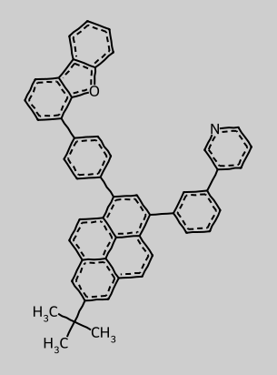 CC(C)(C)c1cc2ccc3c(-c4ccc(-c5cccc6c5oc5ccccc56)cc4)cc(-c4cccc(-c5cccnc5)c4)c4ccc(c1)c2c34